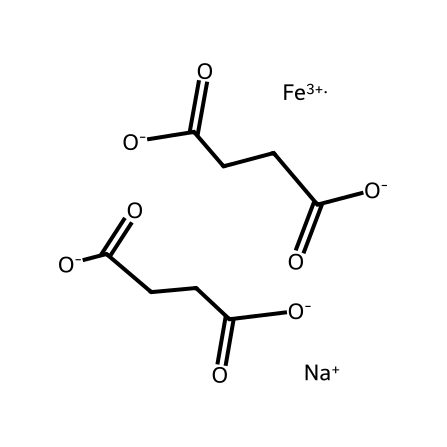 O=C([O-])CCC(=O)[O-].O=C([O-])CCC(=O)[O-].[Fe+3].[Na+]